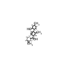 Cc1ccc(-c2nnc([C@H](O)[C@H]3CCCN(C)C3)cc2C)c(O)c1